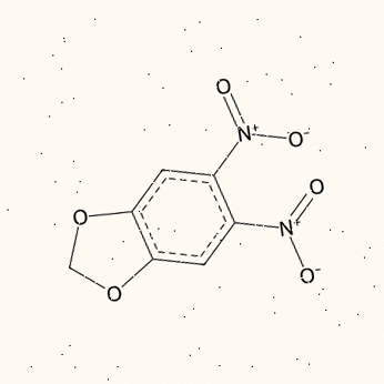 O=[N+]([O-])c1cc2c(cc1[N+](=O)[O-])OCO2